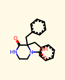 O=C(O)N1CCNC(=O)C1(Cc1ccccc1)Cc1ccccc1